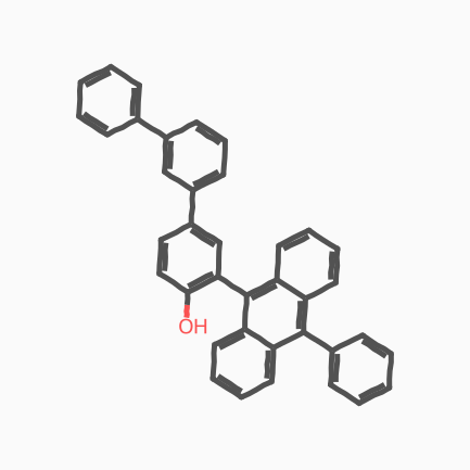 Oc1ccc(-c2cccc(-c3ccccc3)c2)cc1-c1c2ccccc2c(-c2ccccc2)c2ccccc12